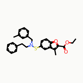 CCOC(=O)c1oc2ccc(SN(CCc3ccccc3)Cc3cccc(C)c3)cc2c1C